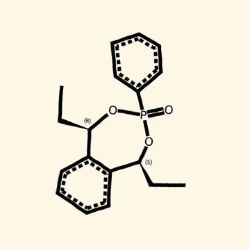 CC[C@@H]1OP(=O)(c2ccccc2)O[C@H](CC)c2ccccc21